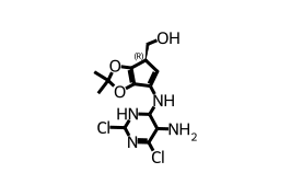 CC1(C)OC2=C(O1)[C@@H](CO)C=C2NC1NC(Cl)N=C(Cl)C1N